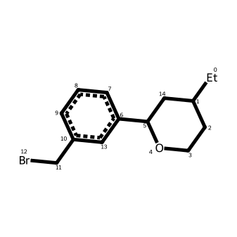 CCC1CCOC(c2cccc(CBr)c2)C1